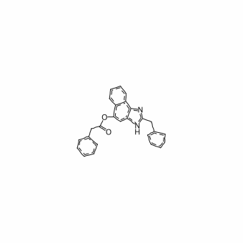 O=C(Cc1ccccc1)Oc1cc2[nH]c(Cc3ccccc3)nc2c2ccccc12